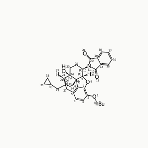 CCCCOc1ccc2c3c1O[C@H]1[C@H](N4C(=O)c5ccccc5C4=O)CC[C@@]4(O)[C@@H](C2)N(CC2CC2)CC[C@]314